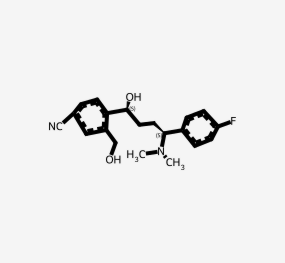 CN(C)[C@@H](CC[C@H](O)c1ccc(C#N)cc1CO)c1ccc(F)cc1